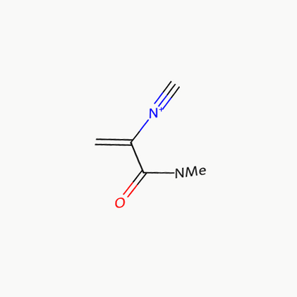 C#[N+]C(=C)C(=O)NC